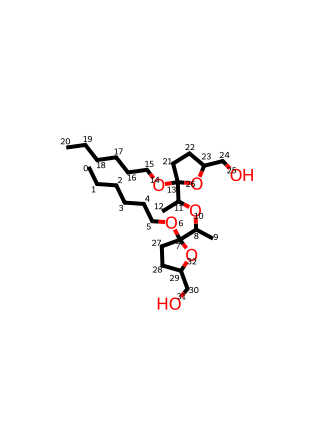 CCCCCCOC1(C(C)OC(C)C2(OCCCCCC)CCC(CO)O2)CCC(CO)O1